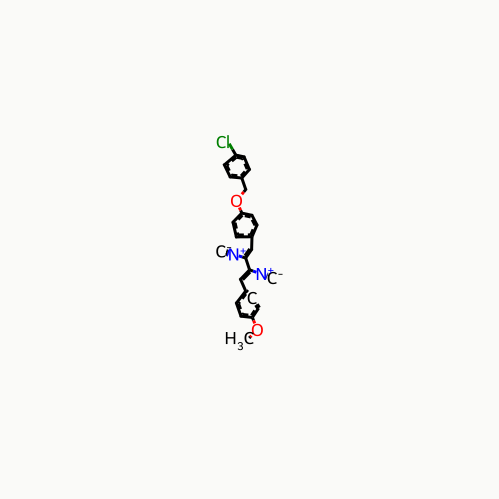 [C-]#[N+]C(=Cc1ccc(OC)cc1)C(=Cc1ccc(OCc2ccc(Cl)cc2)cc1)[N+]#[C-]